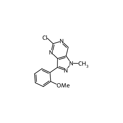 COc1ccccc1-c1nn(C)c2cnc(Cl)nc12